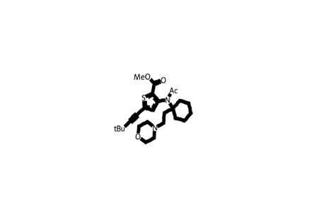 COC(=O)c1sc(C#CC(C)(C)C)cc1N(C(C)=O)C1(CCN2CCOCC2)CCCCC1